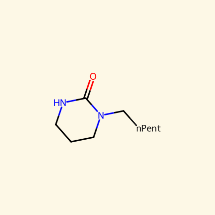 CCCCCCN1CCCNC1=O